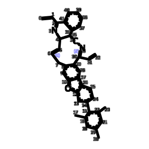 C=CC1=NC2/C=C/Cc3cc4oc5cc(-c6c(C)cc(C)cc6C)ccc5c4cc3/C(C=C)=N\CC2c2ccccc21